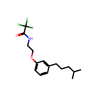 CC(C)CCCc1cccc(OCCNC(=O)C(F)(F)F)c1